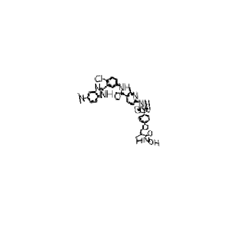 Cc1nc(NS(=O)(=O)c2ccc(OCC(C)C(=O)NO)cc2)ccc1C(=O)Nc1ccc(Cl)c(-c2nc3cc(N(C)C)ccc3[nH]2)c1